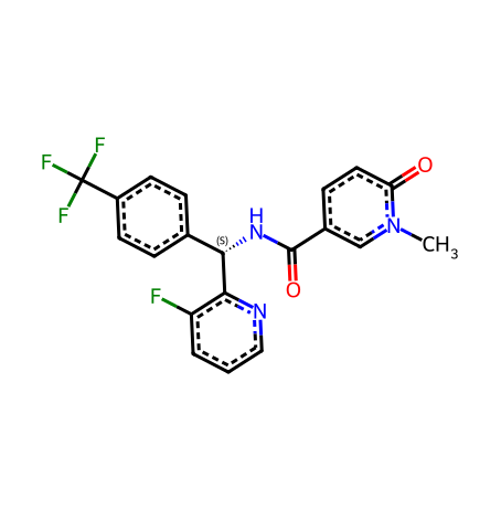 Cn1cc(C(=O)N[C@@H](c2ccc(C(F)(F)F)cc2)c2ncccc2F)ccc1=O